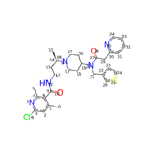 Cc1cc(Cl)nc(C)c1C(=O)NCC[C@@H](C)N1CCC(N(Cc2ccsc2)C(=O)Cc2ccccn2)CC1